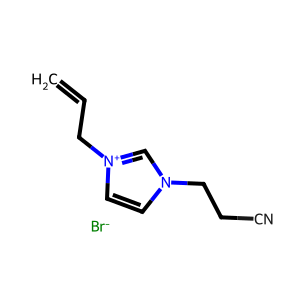 C=CC[n+]1ccn(CCC#N)c1.[Br-]